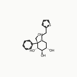 OC[C@]1(c2ccccc2)[C@@H](O)[C@H](O)[C@@H](O)CN1CCc1cccs1